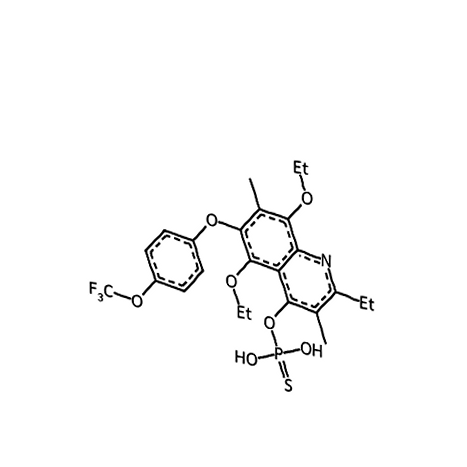 CCOc1c(C)c(Oc2ccc(OC(F)(F)F)cc2)c(OCC)c2c(OP(O)(O)=S)c(C)c(CC)nc12